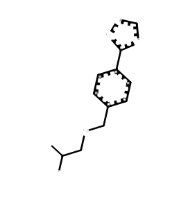 CC(F)CNCc1ccc(-c2nnco2)cc1